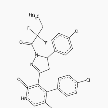 Cc1c[nH]c(=O)c(C2=NN(C(=O)C(F)(F)CC(=O)O)C(c3ccc(Cl)cc3)C2)c1-c1ccc(Cl)cc1